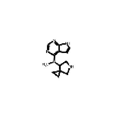 CN(c1ncnc2[nH]ccc12)C1CNCC12CC2